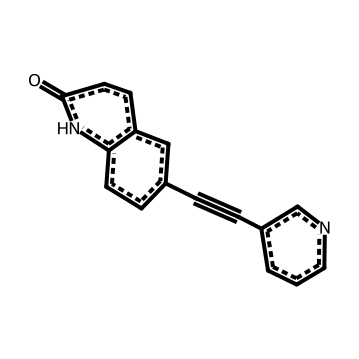 O=c1ccc2cc(C#Cc3cccnc3)ccc2[nH]1